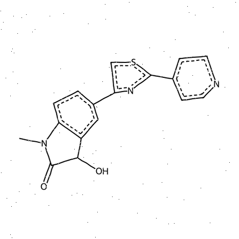 CN1C(=O)C(O)c2cc(-c3csc(-c4ccncc4)n3)ccc21